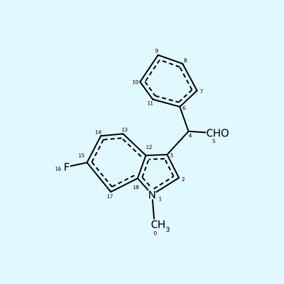 Cn1cc(C(C=O)c2ccccc2)c2ccc(F)cc21